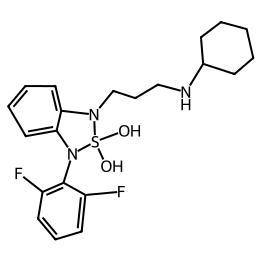 OS1(O)N(CCCNC2CCCCC2)c2ccccc2N1c1c(F)cccc1F